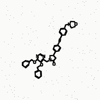 O=C1CC(c2ccc(C#Cc3ccc(CN4CCOCC4)cc3)cc2)CN1Cc1ncnc(OCc2ccccc2)c1OCc1ccccc1